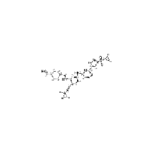 CC1(C#Cc2cnc(Nc3ccnc(-c4cnn(S(=O)(=O)C5CC5)c4)n3)cc2NCC2CCC(CO)CC2)CC1